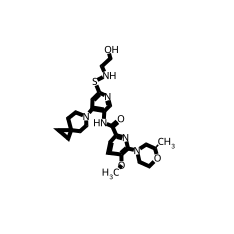 COc1ccc(C(=O)Nc2cnc(SNCCO)cc2N2CCC3(CC2)CC3)nc1N1CCO[C@@H](C)C1